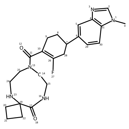 Cn1cnc2cc(C3CCC(C(=O)N4CCNC(=O)C5(CCC5)NCC4)=C(F)C3)ccc21